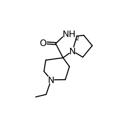 CCN1CCC(C(N)=O)(N2CCCC2)CC1